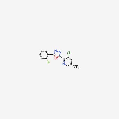 Fc1ccccc1-c1nnc(-c2ncc(C(F)(F)F)cc2Cl)o1